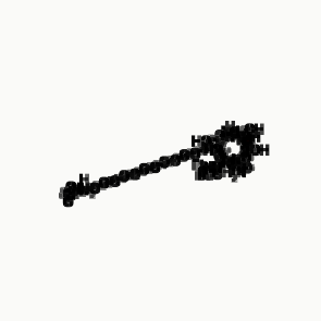 CCC(=O)N[C@H](C(=O)NCC(=O)N[C@@H]1C[S+]([O-])c2[nH]c3c(CSCCOCCOCCOCCOCCOCCOCCOCCOCCOCCOCCOCCN/C=C(\N)CN4C(=O)CCC4=O)c(O)ccc3c2C[C@@H](C(N)=O)NC(=O)[C@H]([C@@H](C)[C@@H](O)CO)NC(=O)[C@@H]2C[C@@H](O)CN2C(=O)[C@H](CCC(N)=O)NC1=O)[C@@H](C)CC